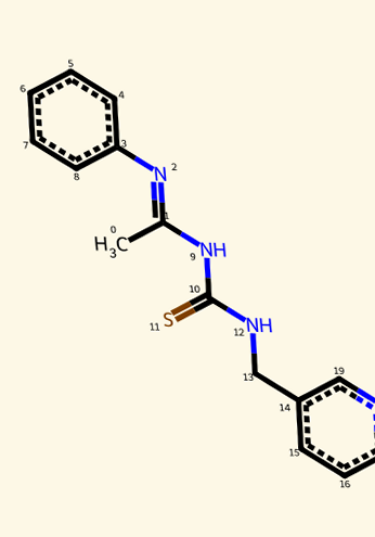 C/C(=N\c1ccccc1)NC(=S)NCc1cccnc1